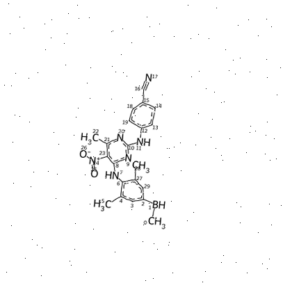 CBc1cc(C)c(Nc2nc(Nc3ccc(C#N)cc3)nc(C)c2[N+](=O)[O-])c(C)c1